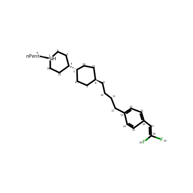 CCCCC[SiH]1CCC([C@H]2CC[C@H](CCCCc3ccc(C=C(F)F)cc3)CC2)CC1